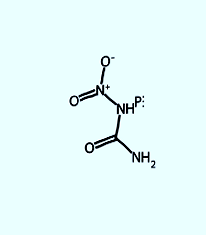 NC(=O)N[N+](=O)[O-].[P]